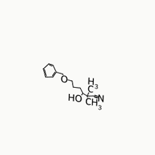 CC(C)(C#N)C(O)CCCOCc1ccccc1